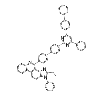 CCc1nc2c3c(-c4ccc(-c5ccc(-c6nc(-c7ccccc7)cc(-c7ccc(-c8ccccc8)cc7)n6)cc5)cc4)nc4ccccc4c3ccc2n1-c1ccccc1